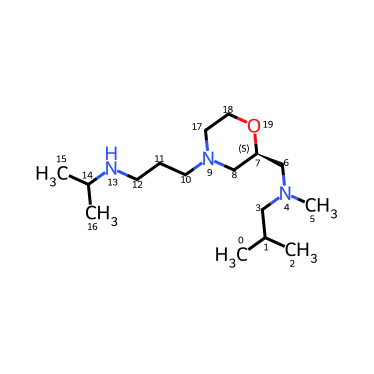 CC(C)CN(C)C[C@H]1CN(CCCNC(C)C)CCO1